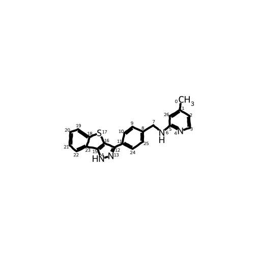 Cc1ccnc(NCc2ccc(-c3n[nH]c4c3sc3ccccc34)cc2)c1